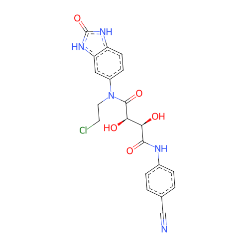 N#Cc1ccc(NC(=O)[C@H](O)[C@@H](O)C(=O)N(CCCl)c2ccc3[nH]c(=O)[nH]c3c2)cc1